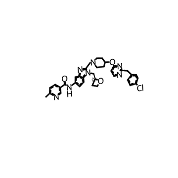 Cc1ccc(C(=O)Nc2ccc3c(c2)nc(CN2CCC(Oc4ccnc(Cc5ccc(Cl)cc5)n4)CC2)n3C[C@@H]2CCO2)cn1